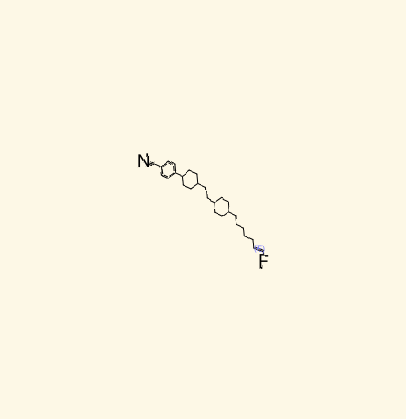 N#Cc1ccc(C2CCC(CCC3CCC(CCCCC/C=C/F)CC3)CC2)cc1